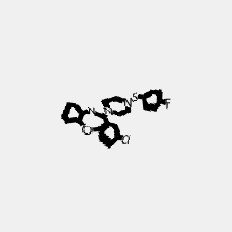 Fc1ccc(SN2CCN(C3=Nc4ccccc4Oc4ccc(Cl)cc43)CC2)cc1